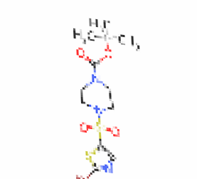 CC(C)(C)OC(=O)N1CCN(S(=O)(=O)c2cnc(Br)s2)CC1